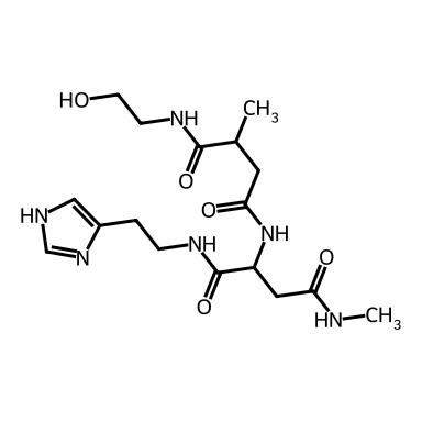 CNC(=O)CC(NC(=O)CC(C)C(=O)NCCO)C(=O)NCCc1c[nH]cn1